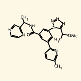 COC(C)c1nnnn1-c1cc(C(=O)NC(C)c2cnccn2)cc(-c2ccc(C)cn2)c1